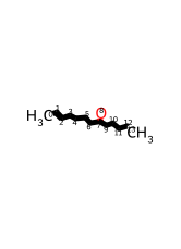 CC=CCCCCC(=O)CCCCC